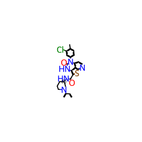 C=CC(=C)N1CCC[C@@H](NC(=O)c2sc3nccc4c3c2NC(=O)N4c2ccc(C)c(Cl)c2)C1